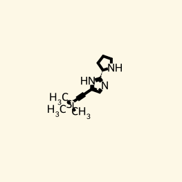 C[Si](C)(C)C#Cc1cnc([C@@H]2CCCN2)[nH]1